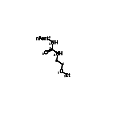 CCCCCNC(=O)NCCOCC